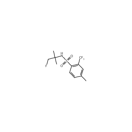 Cc1ccc(S(=O)(=O)NC(C)(C)CF)c(C(F)(F)F)c1